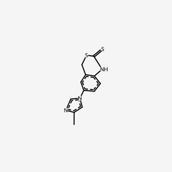 Cc1cn(-c2ccc3c(c2)CSC(=S)N3)cn1